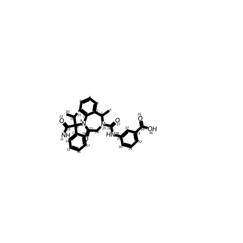 CC1c2ccccc2N(C(C(N)=O)(c2ccccc2)C(C)C)C(=O)CN1C(=O)Nc1cccc(C(=O)O)c1